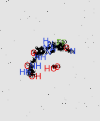 Cc1cc(Nc2nccn3c(-c4ccc(OCC#N)c(F)c4F)cnc23)ccc1C(=O)NCCCNC(=O)[C@@H]1C[C@](C)(O)CN1.O=CO